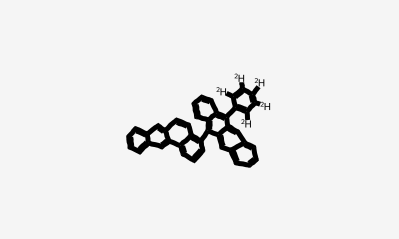 [2H]c1c([2H])c([2H])c(-c2c3ccccc3c(-c3cccc4c3ccc3cc5ccccc5cc34)c3cc4ccccc4cc23)c([2H])c1[2H]